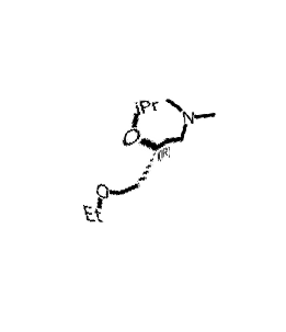 CCOC[C@@H](CN(C)C)OC(C)C